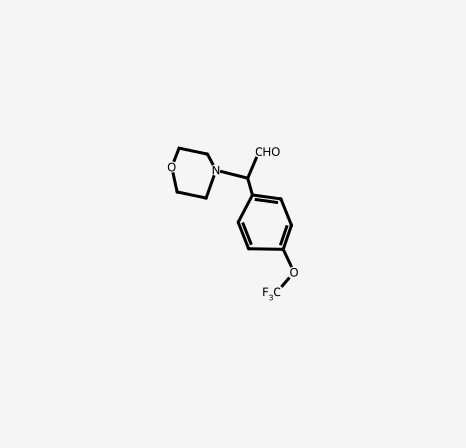 O=CC(c1ccc(OC(F)(F)F)cc1)N1CCOCC1